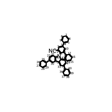 N#Cc1cc(-c2ccccc2)cc(-c2ccccc2)c1-n1c2ccc(-c3ccccc3)cc2c2cc(-c3ccccc3)ccc21